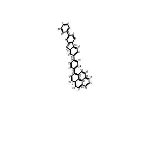 c1ccc(-c2ccc3c(c2)sc2cc(-c4ccc(-c5ccc6ccc7cccc8ccc5c6c78)cc4)ccc23)cc1